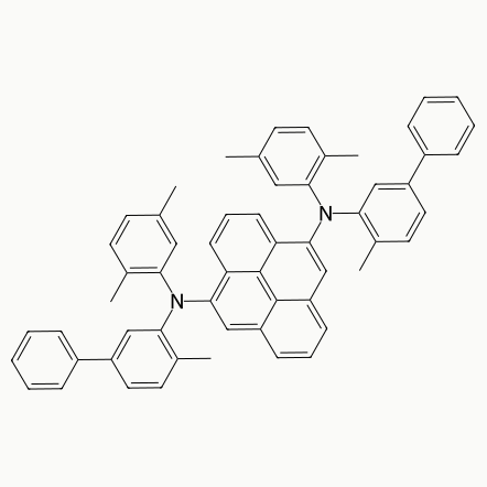 Cc1ccc(C)c(N(c2cc(-c3ccccc3)ccc2C)c2cc3cccc4cc(N(c5cc(C)ccc5C)c5cc(-c6ccccc6)ccc5C)c5cccc2c5c34)c1